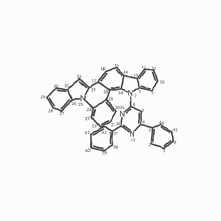 c1ccc(-c2cc(-n3c4ccccc4c4ccc5c(c6ccccc6n6c7ccccc7cc56)c43)nc(-c3ccccc3)n2)cc1